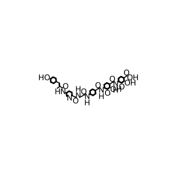 COc1c(NC(=O)c2ccc(NC(=O)c3ccc(NC(=O)CNC(=O)c4ccc(NC(=O)/C(C)=C/c5ccc(O)cc5)cn4)cc3)c(OC)c2O)ccc(C(=O)O)c1O